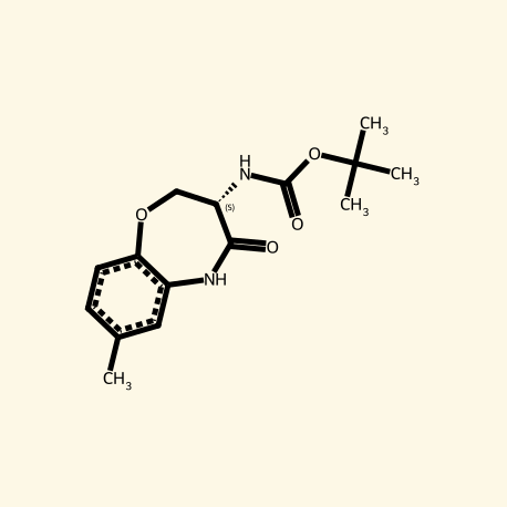 Cc1ccc2c(c1)NC(=O)[C@@H](NC(=O)OC(C)(C)C)CO2